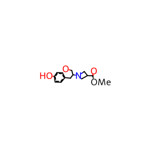 COC(=O)C1CN(C2COc3cc(O)ccc3C2)C1